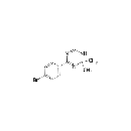 CC1(C)N=C(c2ccc(Br)cc2)N=CN1